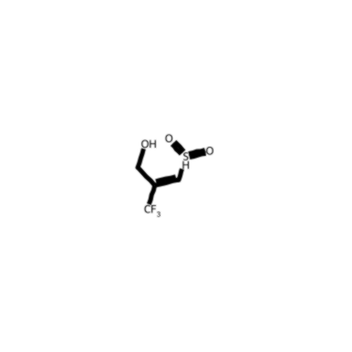 O=[SH](=O)/C=C(\CO)C(F)(F)F